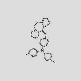 Cc1ccc(N(c2ccc(C)cc2)c2ccc(C=C3c4ccccc4CCc4ccccc43)cc2)cc1